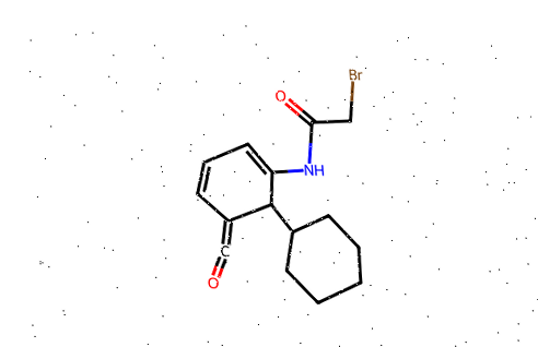 O=C=C1C=CC=C(NC(=O)CBr)C1C1CCCCC1